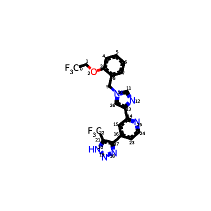 FC(F)(F)COc1ccccc1Cn1cnc(-c2cc(-c3nn[nH]c3C(F)(F)F)ccn2)c1